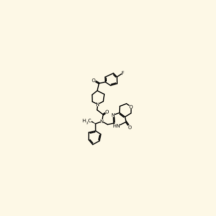 C[C@H](c1ccccc1)N(Cc1nc2c(c(=O)[nH]1)COCC2)C(=O)CN1CCC(C(=O)c2ccc(F)cc2)CC1